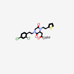 COC(=O)CC1C(=O)N(CCc2ccc(Cl)cc2Cl)CC(=O)N1CCc1cccs1